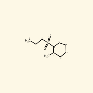 CCCS(=O)(=O)C1CCCCC1C